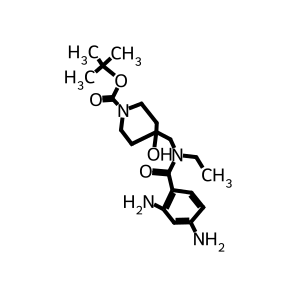 CCN(CC1(O)CCN(C(=O)OC(C)(C)C)CC1)C(=O)c1ccc(N)cc1N